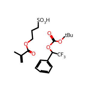 C=C(C)C(=O)OCCCS(=O)(=O)O.CC(C)(C)OC(=O)OC(c1ccccc1)C(F)(F)F